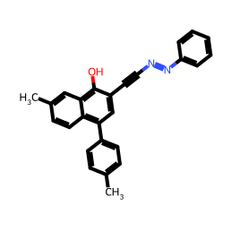 Cc1ccc(-c2cc(C#CN=Nc3ccccc3)c(O)c3cc(C)ccc23)cc1